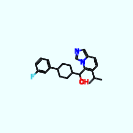 CC(C)c1ccc2cncn2c1C(O)C1CCC(c2cccc(F)c2)CC1